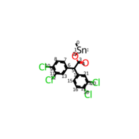 [CH3][Sn][O]C(=O)C(c1ccc(Cl)c(Cl)c1)c1ccc(Cl)c(Cl)c1